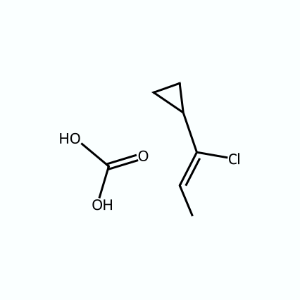 CC=C(Cl)C1CC1.O=C(O)O